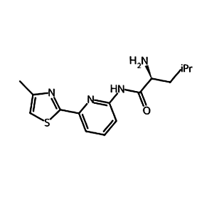 Cc1csc(-c2cccc(NC(=O)[C@@H](N)CC(C)C)n2)n1